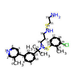 Cc1cnccc1-c1cccc(C(C)(C)N(CCCNSCCN)Sc2cccc(Cl)c2C)c1